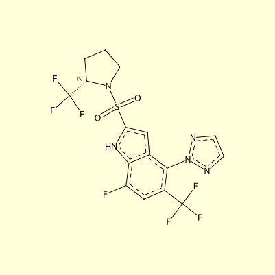 O=S(=O)(c1cc2c(-n3nccn3)c(C(F)(F)F)cc(F)c2[nH]1)N1CCC[C@H]1C(F)(F)F